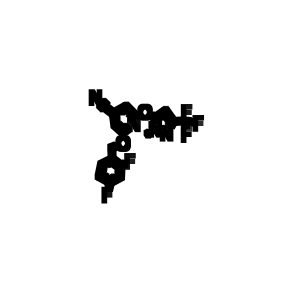 Cn1nc(C(F)(F)F)cc1Oc1cc(C#N)cc(OCc2ccc(F)cc2F)n1